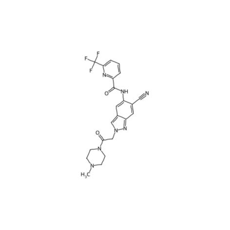 CN1CCN(C(=O)Cn2cc3cc(NC(=O)c4cccc(C(F)(F)F)n4)c(C#N)cc3n2)CC1